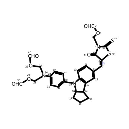 O=COCN1C(=O)/C(=C\c2ccc3c(c2)C2CCCC2N3c2ccc(N(COC=O)COC=O)cc2)SC1=S